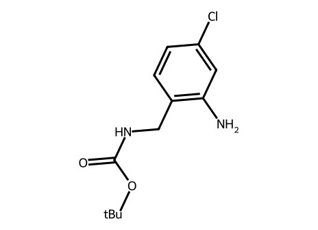 CC(C)(C)OC(=O)NCc1ccc(Cl)cc1N